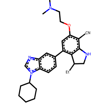 CCC1CNc2c(C#N)c(OCCN(C)C)cc(-c3ccc4c(c3)ncn4C3CCCCC3)c21